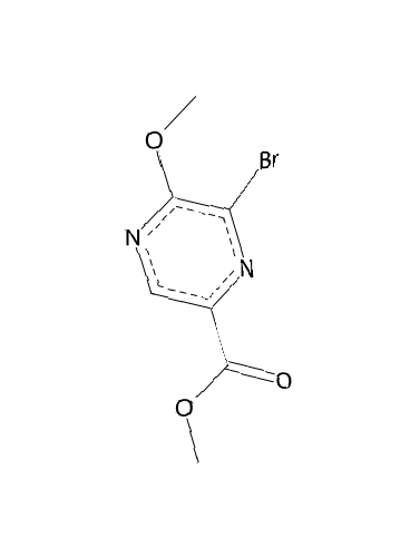 COC(=O)c1cnc(OC)c(Br)n1